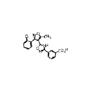 Cc1onc(-c2ccccc2Cl)c1C1NC(c2cccc(C(=O)O)c2)=NO1